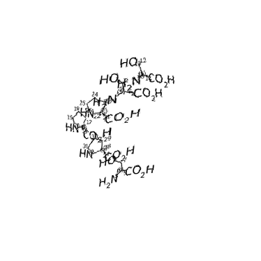 N[C@@H](CO)C(=O)O.N[C@@H](CO)C(=O)O.N[C@@H](CO)C(=O)O.O=C(O)[C@@H]1CCCN1.O=C(O)[C@@H]1CCCN1.O=C(O)[C@@H]1CCCN1